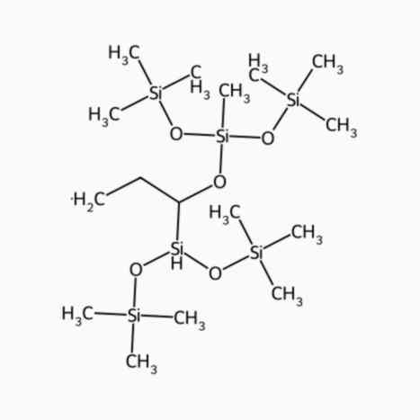 [CH2]CC(O[Si](C)(O[Si](C)(C)C)O[Si](C)(C)C)[SiH](O[Si](C)(C)C)O[Si](C)(C)C